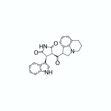 O=C1NC(=O)[C@H](c2c[nH]c3ccccc23)[C@@H]1C(=O)C1CN2CCCc3cccc1c32